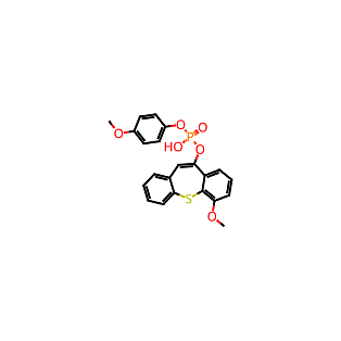 COc1ccc(OP(=O)(O)OC2=Cc3ccccc3Sc3c(OC)cccc32)cc1